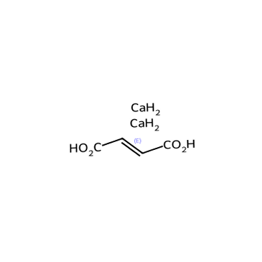 O=C(O)/C=C/C(=O)O.[CaH2].[CaH2]